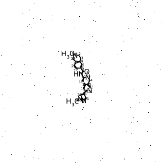 CN1CCc2cc(C(=O)Nc3cc4cc(-c5cnn(C)c5)ncc4cn3)ccc2C1